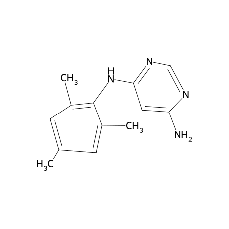 Cc1cc(C)c(Nc2cc(N)ncn2)c(C)c1